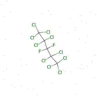 FC(F)(C(Cl)(Cl)C(Cl)(Cl)Cl)C(Cl)(Cl)C(Cl)(Cl)Cl